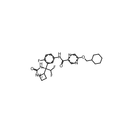 NC(=O)N[C@@](c1cc(NC(=O)c2cnc(OCC3CCCCC3)cn2)ccc1F)(C(F)F)C1CCC1